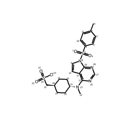 Cc1ccc(S(=O)(=O)n2ccc3c(N(C)[C@H]4CC[C@H](CS(=O)(=O)Cl)CC4)ncnc32)cc1